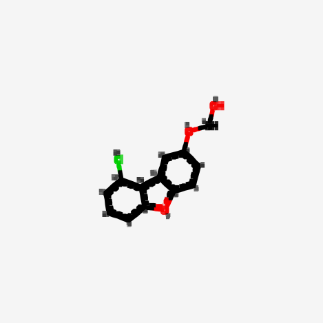 OBOc1ccc2oc3cccc(Cl)c3c2c1